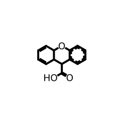 O=C(O)C1c2ccccc2OC2C=CC=CC21